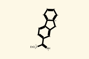 CCOC(=O)C(=N)c1ccc2c(c1)Cc1ccccc1-2